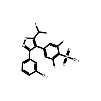 Cc1cccc(-c2noc(C(F)F)c2-c2cc(F)c(S(C)(=O)=O)c(F)c2)c1